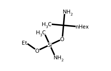 CCCCCCC(C)(N)O[Si](C)(N)OCC